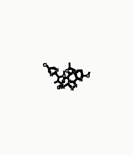 COc1cccc(-c2nnc(NS(=O)(=O)C(C)C(OC)c3ncc(Cl)cn3)n2C(C)c2ncc(C)o2)n1